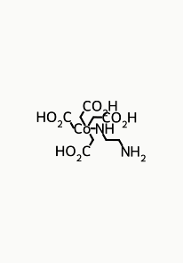 NCC[NH][Co]([CH2]C(=O)O)([CH2]C(=O)O)([CH2]C(=O)O)[CH2]C(=O)O